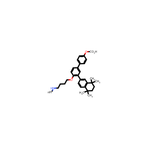 CCCNCCCCOc1ccc(-c2ccc(OC(=O)O)cc2)cc1-c1ccc2c(c1)C(C)(C)CCC2(C)C